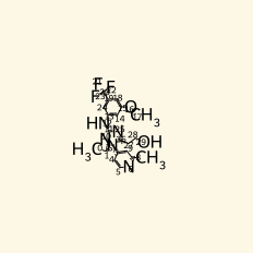 CC[N@@+]1(c2ccnc(C)c2)N=C(Nc2cc(OC)cc(C(F)(F)F)c2)N=C1CCO